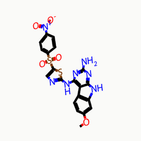 COc1ccc2c(c1)[nH]c1nc(N)nc(Nc3ncc(S(=O)(=O)c4ccc([N+](=O)[O-])cc4)s3)c12